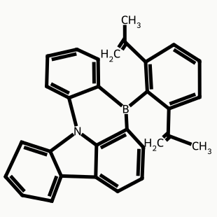 C=C(C)c1cccc(C(=C)C)c1B1c2ccccc2-n2c3ccccc3c3cccc1c32